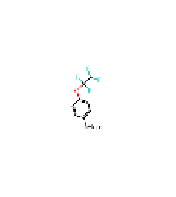 CCCCCCCc1ccc(OC(F)(F)C(F)F)cc1